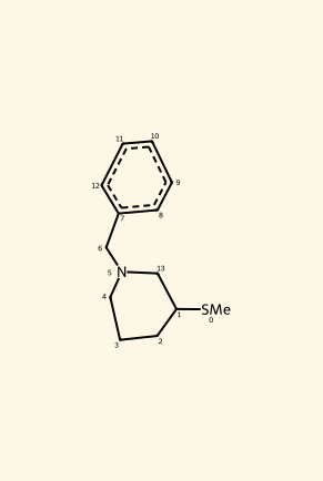 CSC1CCCN(Cc2ccccc2)C1